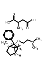 CN(C)CCO[C@]1(c2ccccc2)C[C@H]2CC[C@]1(C)C2(C)C.NC(CC(=O)O)C(=O)O